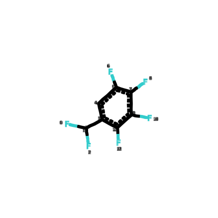 F[C](F)c1[c]c(F)c(F)c(F)c1F